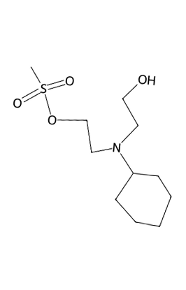 CS(=O)(=O)OCCN(CCO)C1CCCCC1